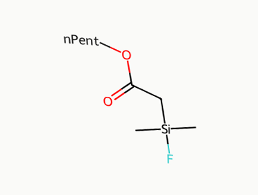 CCCCCOC(=O)C[Si](C)(C)F